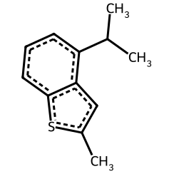 Cc1cc2c(C(C)C)cccc2s1